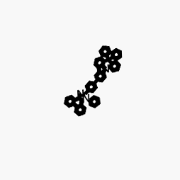 c1ccc(-n2c(-c3ccc(-c4ccc5c(c4)c4cccc6c4n5-c4ccccc4C6(c4ccccc4)c4ccccc4)cc3)nc3c4ccccc4c4ccccc4c32)cc1